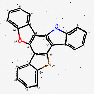 c1ccc2c(c1)[nH]c1c3c4ccccc4oc3c3c4ccccc4sc3c21